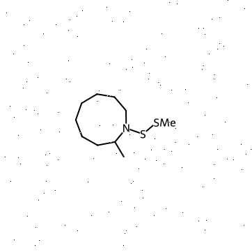 CSSN1CCCCCCCC1C